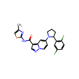 Cc1csc(NC(=O)c2cnn3ccc(N4CCCC4c4cc(F)ccc4F)cc23)n1